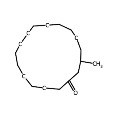 CC1CCCCCCCCCCCCCCC(=O)C1